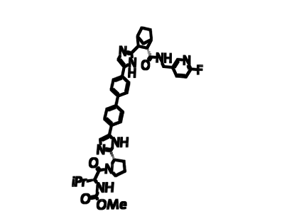 COC(=O)N[C@H](C(=O)N1CCC[C@H]1c1ncc(-c2ccc(-c3ccc(-c4cnc(C5C6CCC(C6)[C@@H]5C(=O)NCc5ccc(F)nc5)[nH]4)cc3)cc2)[nH]1)C(C)C